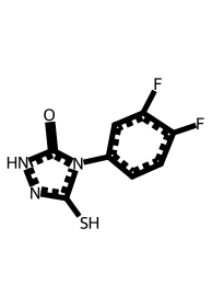 O=c1[nH]nc(S)n1-c1ccc(F)c(F)c1